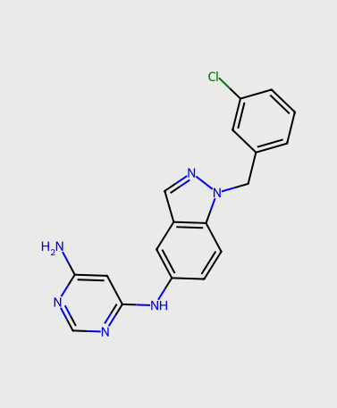 Nc1cc(Nc2ccc3c(cnn3Cc3cccc(Cl)c3)c2)ncn1